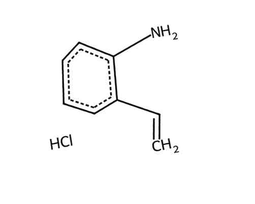 C=Cc1ccccc1N.Cl